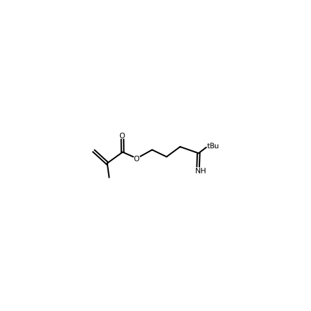 C=C(C)C(=O)OCCCC(=N)C(C)(C)C